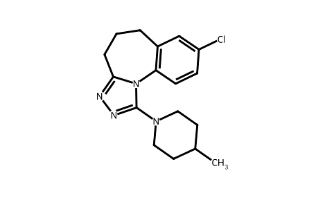 CC1CCN(c2nnc3n2-c2ccc(Cl)cc2CCC3)CC1